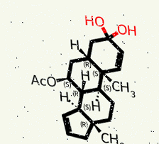 CC(=O)O[C@H]1C[C@@H]2CC(O)(O)C=C[C@]2(C)[C@H]2CC[C@]3(C)CC=C[C@H]3[C@H]12